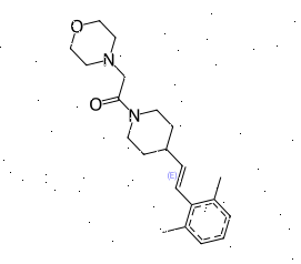 Cc1cccc(C)c1/C=C/C1CCN(C(=O)CN2CCOCC2)CC1